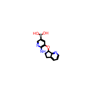 Nc1ncc(B(O)O)cc1OC1CCc2cccnc21